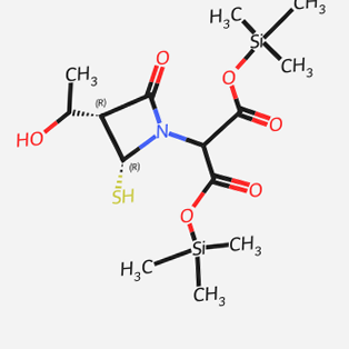 CC(O)[C@@H]1C(=O)N(C(C(=O)O[Si](C)(C)C)C(=O)O[Si](C)(C)C)[C@@H]1S